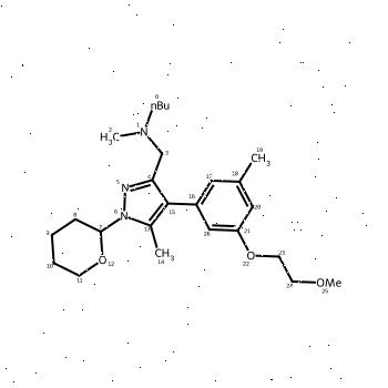 CCCCN(C)Cc1nn(C2CCCCO2)c(C)c1-c1cc(C)cc(OCCOC)c1